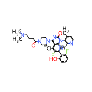 Cc1ccnc(C(C)C)c1-n1c(=O)nc(N2CCN(C(=O)C=CCN(C)C)C[C@@H]2C)c2cc(F)c(-c3c(O)cccc3F)nc21